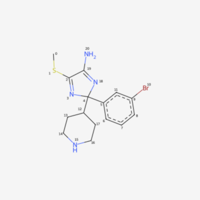 CSC1=NC(c2cccc(Br)c2)(C2CCNCC2)N=C1N